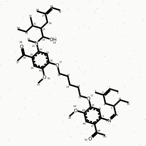 C/C=C(/C)CC(/C=N\c1cc(OCCCCCOc2cc(N(C)C(O)C(C/C(C)=C\C)C(C)CC)c(C(C)=O)cc2OC)c(OC)cc1C(C)=O)CC